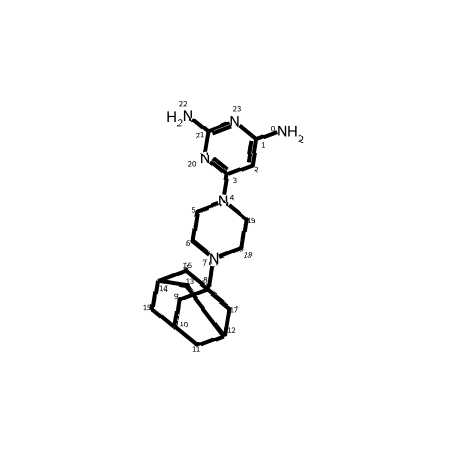 Nc1cc(N2CCN(C34CC5CC(CC(C5)C3)C4)CC2)nc(N)n1